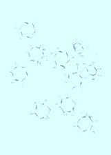 c1ccc(-c2cc(-c3ccccc3)nc(-c3ccc4c(c3)-c3cc(-c5cc(-c6ccccn6)nc(-c6ccccn6)c5)ccc3C43c4ccccc4Sc4ccccc43)n2)cc1